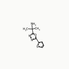 CC(C)(N)c1nnc(-c2cccs2)o1